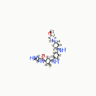 CCOC1CCN(c2ccc(Nc3ccc(Nc4ccc(NC(=O)c5cc[nH]c5)cc4F)cc3)cc2)CC1